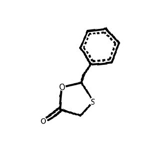 O=C1CSC(c2ccccc2)O1